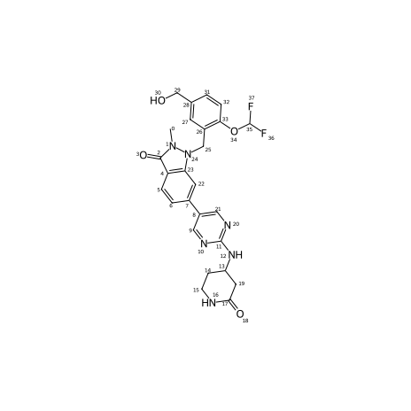 Cn1c(=O)c2ccc(-c3cnc(NC4CCNC(=O)C4)nc3)cc2n1Cc1cc(CO)ccc1OC(F)F